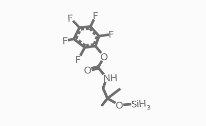 CC(C)(CNC(=O)Oc1c(F)c(F)c(F)c(F)c1F)O[SiH3]